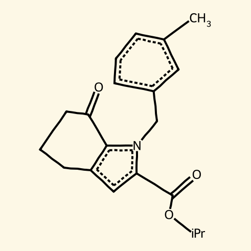 Cc1cccc(Cn2c(C(=O)OC(C)C)cc3c2C(=O)CCC3)c1